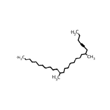 [CH2]CCC#CCC(C)CCCCCCCCC(C)CCCCCCCCCC[CH2]